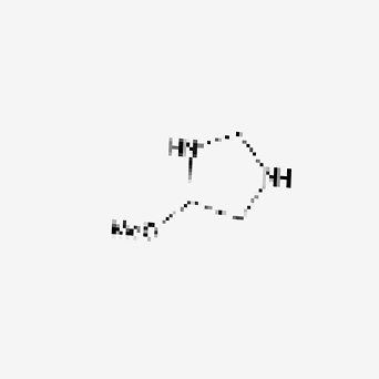 COC1CNCN1